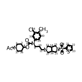 CC(=O)N1CCC(OC(=O)N(CCCN2CC3CN(S(=O)(=O)c4cccs4)CC3C2)c2ccc(C)c(Cl)c2)CC1